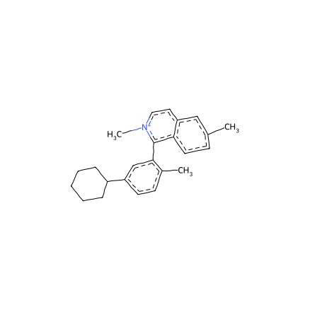 Cc1ccc2c(-c3cc(C4CCCCC4)ccc3C)[n+](C)ccc2c1